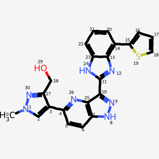 Cn1cc(-c2ccc3[nH]nc(-c4nc5c(-c6cccs6)cccc5[nH]4)c3n2)c(CO)n1